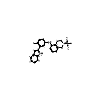 Cc1ccc(Nc2cccc3c2CCN(S(C)(=O)=O)C3)cc1-c1cc2ccccc2[nH]1